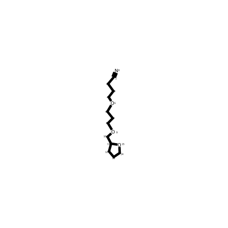 N#CCCCOCCCOCC1CCCO1